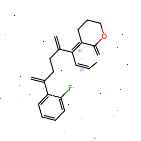 C=C(CCC(=C)c1ccccc1F)C(/C=C\C)=C1\CCCOC1=C